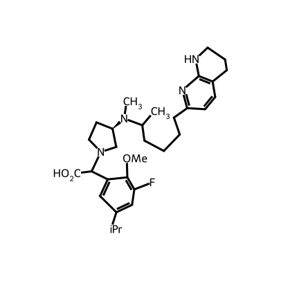 COc1c(F)cc(C(C)C)cc1C(C(=O)O)N1CC[C@@H](N(C)C(C)CCCCc2ccc3c(n2)NCCC3)C1